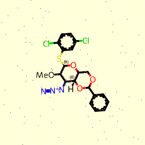 COC1C(N=[N+]=[N-])[C@H]2OC(c3ccccc3)OCC2O[C@@H]1Sc1cc(Cl)ccc1Cl